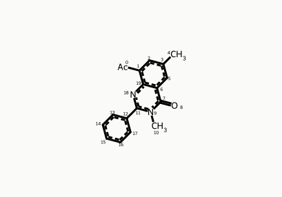 CC(=O)c1cc(C)cc2c(=O)n(C)c(-c3ccccc3)nc12